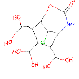 O=C1NC2C(Cl)C(O1)C(C(O)O)C(C(O)O)C2C(O)O